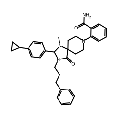 CN1C(c2ccc(C3CC3)cc2)N(CCCc2ccccc2)C(=O)C12CCN(c1ccccc1C(N)=O)CC2